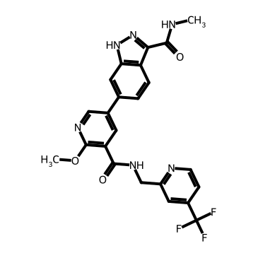 CNC(=O)c1n[nH]c2cc(-c3cnc(OC)c(C(=O)NCc4cc(C(F)(F)F)ccn4)c3)ccc12